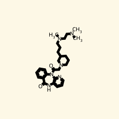 CN(C)CCN(C)CCCC1CCCN(CC(=O)N2c3ccccc3C(=O)Nc3cccnc32)C1